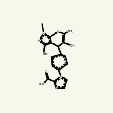 Cn1nc(C(C)(C)C)c2c1OC(N)=C(C#N)C2c1ccc(-n2ccnc2C(N)=O)cc1